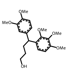 COc1ccc(C(CCCO)c2ccc(OC)c(OC)c2OC)cc1OC